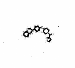 O=C(c1ccon1)N1CCC(Oc2ccc(-c3cnc4ccccc4c3)cc2)CC1